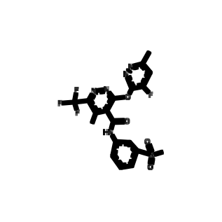 Cc1cc(F)c(Oc2nnc(C(F)(F)F)c(C)c2C(=O)Nc2cccc(S(C)(=O)=O)c2)nn1